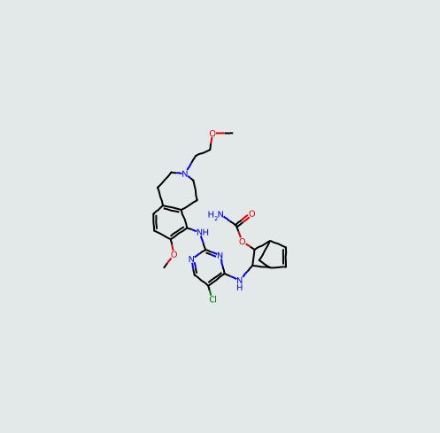 COCCN1CCc2ccc(OC)c(Nc3ncc(Cl)c(NC4C5C=CC(C5)C4OC(N)=O)n3)c2CC1